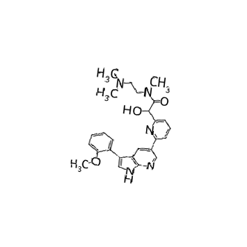 COc1ccccc1-c1c[nH]c2ncc(-c3cccc(C(O)C(=O)N(C)CCN(C)C)n3)cc12